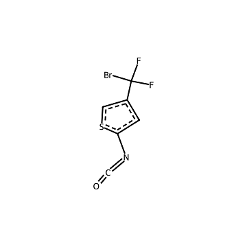 O=C=Nc1cc(C(F)(F)Br)cs1